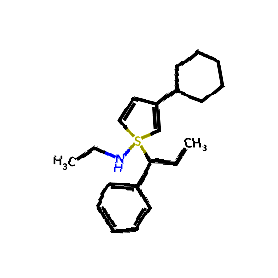 CCNS1(C(CC)c2ccccc2)C=CC(C2CCCCC2)=C1